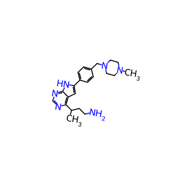 CC(CCN)c1ncnc2[nH]c(-c3ccc(CN4CCN(C)CC4)cc3)cc12